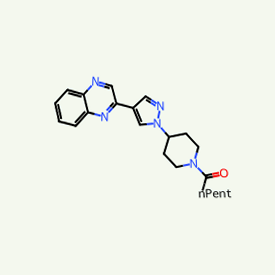 CCCCCC(=O)N1CCC(n2cc(-c3cnc4ccccc4n3)cn2)CC1